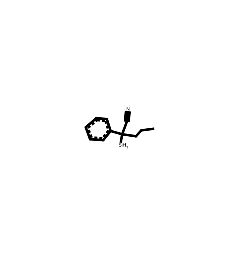 CCCC([SiH3])(C#N)c1ccccc1